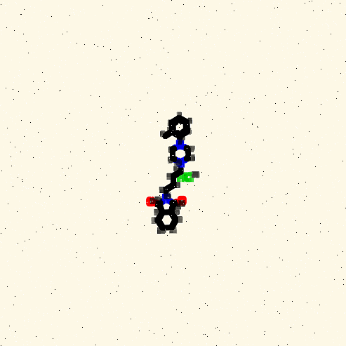 Cc1ccccc1N1CCN(CCCCN2C(=O)C3CCCCC3C2=O)CC1.Cl